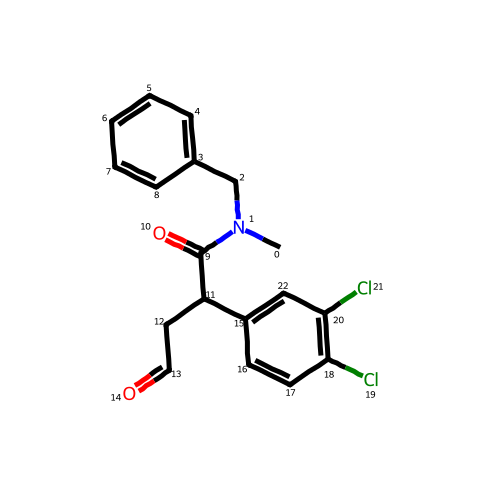 CN(Cc1ccccc1)C(=O)C(CC=O)c1ccc(Cl)c(Cl)c1